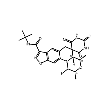 C[C@@H]1O[C@H](C)[C@@H]2N(c3cc4onc(C(=O)NC(C)(C)C)c4cc3CC23C(=O)NC(=O)NC3=O)C1F